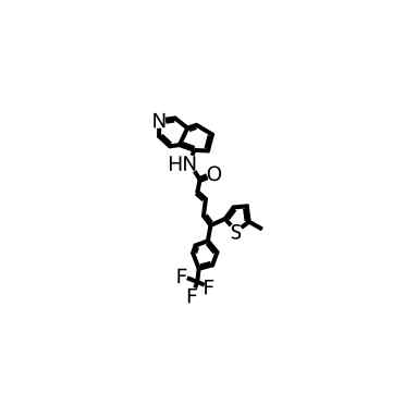 Cc1ccc(/C(=C\C=C\C(=O)Nc2cccc3cnccc23)c2ccc(C(F)(F)F)cc2)s1